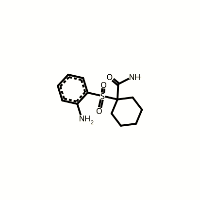 [NH]C(=O)C1(S(=O)(=O)c2ccccc2N)CCCCC1